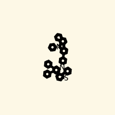 c1ccc(-c2ccc(N(c3ccc(-c4ccc5c6ccc7ccccc7c6n(-c6ccccc6)c5c4)cc3)c3cccc4sc5ccccc5c34)cc2-c2ccccc2)cc1